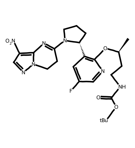 C[C@@H](CCNC(=O)OC(C)(C)C)Oc1ncc(F)cc1[C@H]1CCCN1C1=Nc2c([N+](=O)[O-])cnn2CC1